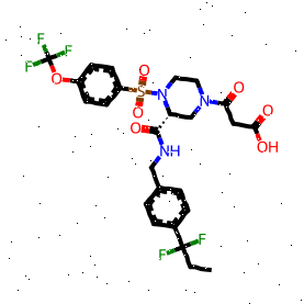 CCC(F)(F)c1ccc(CNC(=O)[C@H]2CN(C(=O)CC(=O)O)CCN2S(=O)(=O)c2ccc(OC(F)(F)F)cc2)cc1